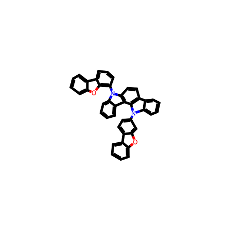 c1ccc2c(c1)oc1cc(-n3c4ccccc4c4ccc5c(c6ccccc6n5-c5cccc6c5oc5ccccc56)c43)ccc12